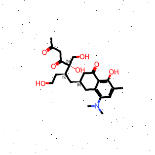 CC(=O)CC(=O)[C@@](O)(CO)[C@H](CCO)C[C@H]1CC(=O)c2c(O)c(C)cc(N(C)C)c2C1